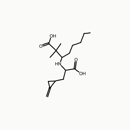 C=C1CC1CC(NC(CCCCC)C(C)(C)C(=O)O)C(=O)O